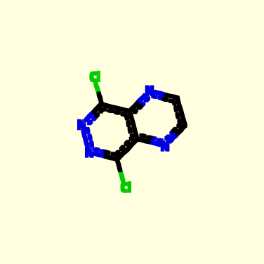 Clc1nnc(Cl)c2nccnc12